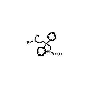 CCOC(=O)NCC(CCN(C(C)C)C(C)C)(c1ccccc1)c1ccccc1